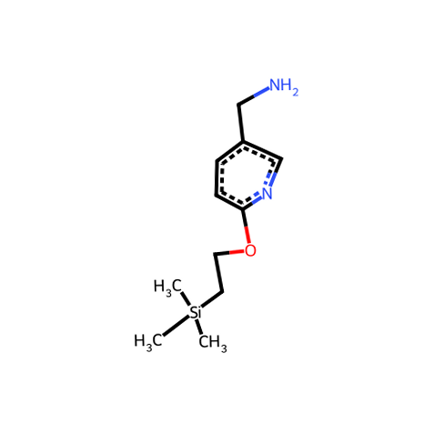 C[Si](C)(C)CCOc1ccc(CN)cn1